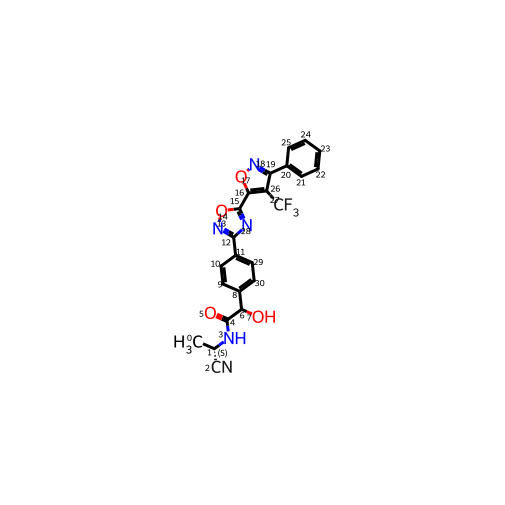 C[C@@H](C#N)NC(=O)C(O)c1ccc(-c2noc(-c3onc(-c4ccccc4)c3C(F)(F)F)n2)cc1